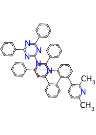 Cc1ccc(-c2cccc(-c3cccc(-c4nc(-c5ccccc5)nc(-c5ccccc5)n4)c3)c2-c2ccccc2-c2cc(-c3ccccc3)nc(-c3ccccc3)n2)c(C)n1